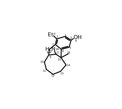 CCc1cc(O)cc2c1CC1CCCCCC2(C)C1N